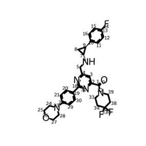 O=C(c1cc(CN[C@@H]2C[C@H]2c2ccc(F)cc2)nc(-c2ccc(N3CCOCC3)cc2)n1)N1CCC(F)(F)CC1